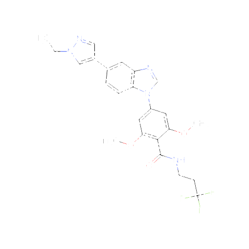 CCn1cc(-c2ccc3c(c2)ncn3-c2cc(OC)c(C(=O)NCCC(F)(F)F)c(OC)c2)cn1